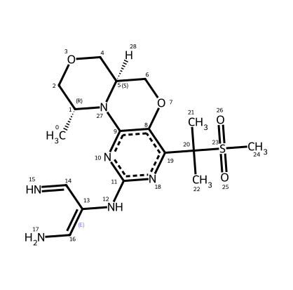 C[C@@H]1COC[C@H]2COc3c(nc(N/C(C=N)=C/N)nc3C(C)(C)S(C)(=O)=O)N21